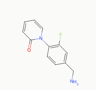 NCc1ccc(-n2ccccc2=O)c(F)c1